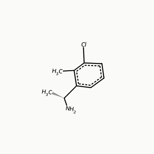 Cc1c(Cl)cccc1[C@@H](C)N